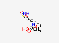 Cc1cc(C(=O)O)ccc1C(=O)N(C)Cc1cccc(-c2ccc(CC3SC(=O)NC3=O)cc2)c1